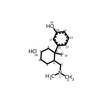 CN(C)CC1CCCCC1(F)c1cccc(O)c1.Cl